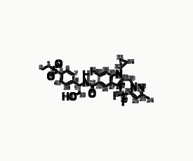 CCS(=O)(=O)c1ccc([C@H](CO)NC(=O)c2cc3cc(Cn4nc(C)cc4C(F)(F)F)n(C4CC4)c3cc2F)cc1